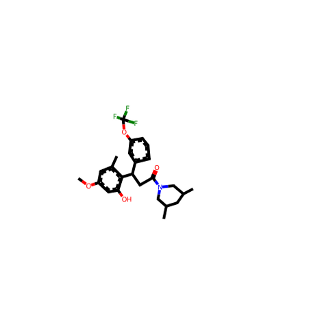 COc1cc(C)c(C(CC(=O)N2CC(C)CC(C)C2)c2cccc(OC(F)(F)F)c2)c(O)c1